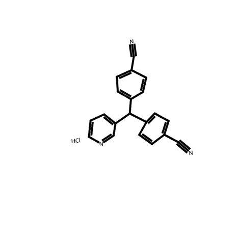 Cl.N#Cc1ccc(C(c2ccc(C#N)cc2)c2cccnc2)cc1